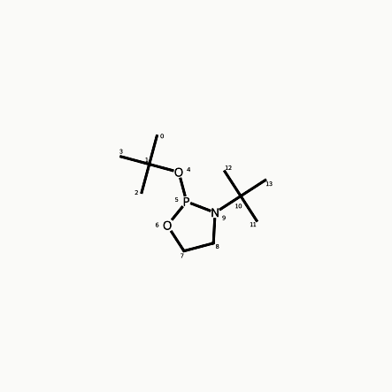 CC(C)(C)OP1OCCN1C(C)(C)C